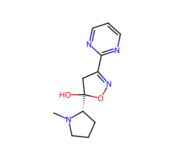 CN1CCC[C@H]1C1(O)CC(c2ncccn2)=NO1